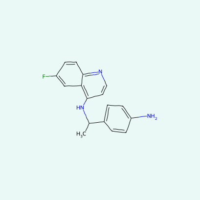 CC(Nc1ccnc2ccc(F)cc12)c1ccc(N)cc1